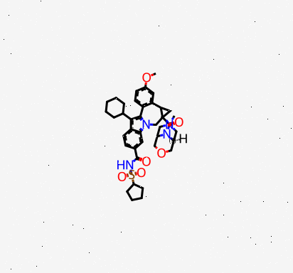 COc1ccc2c(c1)C1CC1(C(=O)N1C3COC[C@@H]1CN(C)C3)Cn1c-2c(C2CCCCC2)c2ccc(C(=O)NS(=O)(=O)C3CCCC3)cc21